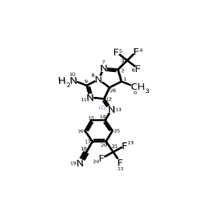 CC1C(C(F)(F)F)=NN2C(N)=N/C(=N\c3ccc(C#N)c(C(F)(F)F)c3)C12